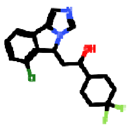 OC(CC1c2c(Cl)cccc2-c2cncn21)C1CCC(F)(F)CC1